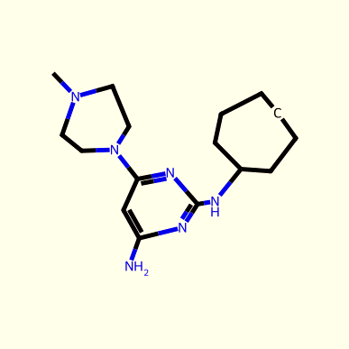 CN1CCN(c2cc(N)nc(NC3CCCCCC3)n2)CC1